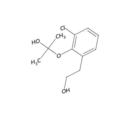 CC(C)(O)Oc1c(Cl)cccc1CCO